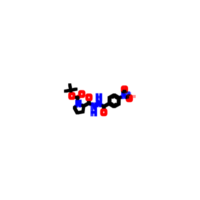 CC(C)(C)OC(=O)N1CCCC1C(=O)NNC(=O)c1ccc([N+](=O)[O-])cc1